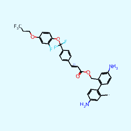 [CH2]c1cc(N)ccc1-c1ccc(N)cc1COC(=O)/C=C/c1ccc(C(F)(F)Oc2ccc(OCCC(F)(F)F)cc2F)cc1